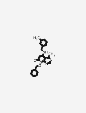 Cc1cccc(CNc2cc(=O)n(OCc3ccccc3)c3ncnc(C)c23)c1